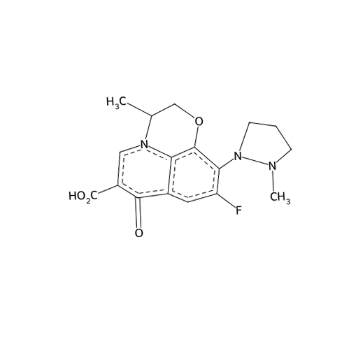 CC1COc2c(N3CCCN3C)c(F)cc3c(=O)c(C(=O)O)cn1c23